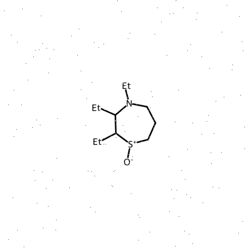 CCC1C(CC)[S+]([O-])CCCN1CC